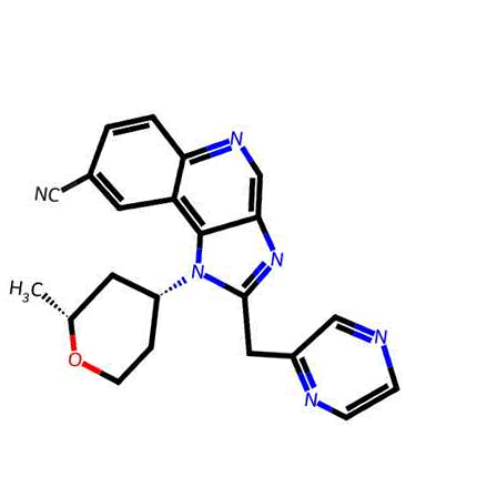 C[C@@H]1C[C@H](n2c(Cc3cnccn3)nc3cnc4ccc(C#N)cc4c32)CCO1